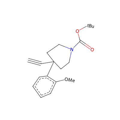 C#CC1(c2ccccc2OC)CCN(C(=O)OC(C)(C)C)CC1